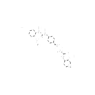 CCOc1ccc(C)cc1NC(=O)Nc1ccc(N2CCN(C(=O)Nc3ccncc3C)CC2)cc1